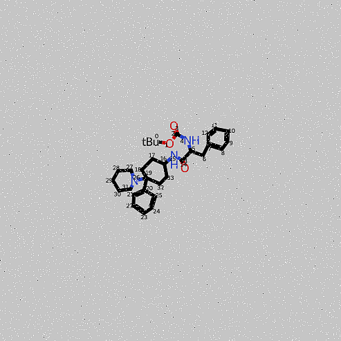 CC(C)(C)OC(=O)NC(Cc1ccccc1)C(=O)NC1CCC(c2ccccc2)(N2CCCCC2)CC1